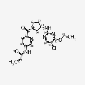 C=CC(=O)Nc1ccc(C(=O)N2CC[C@H](Nc3ncc(Cl)c(OCC)n3)C2)nc1